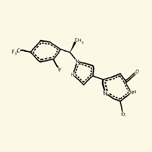 CCc1nc(-c2cnn([C@H](C)c3ccc(C(F)(F)F)cc3F)c2)cc(=O)[nH]1